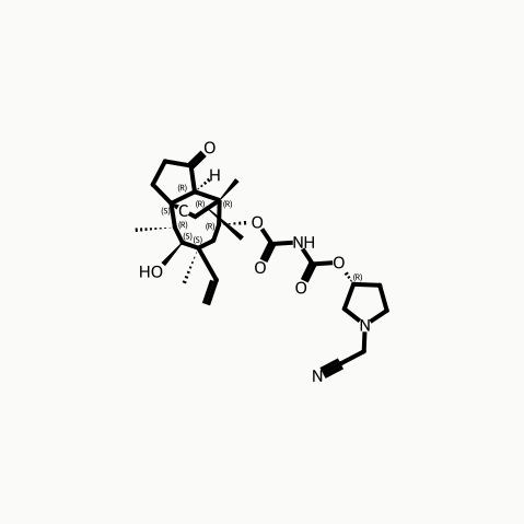 C=C[C@]1(C)C[C@@H](OC(=O)NC(=O)O[C@@H]2CCN(CC#N)C2)[C@]2(C)[C@H](C)CC[C@]3(CCC(=O)[C@H]32)[C@@H](C)[C@@H]1O